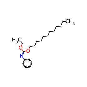 CCCCCCCCCCCCOC(=Nc1ccccc1)OCC